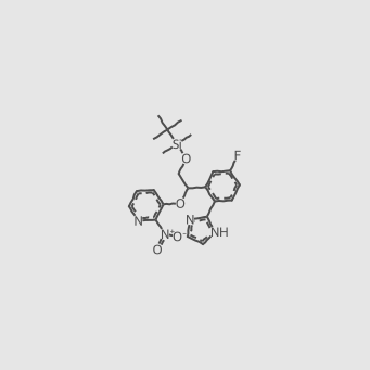 CC(C)(C)[Si](C)(C)OCC(Oc1cccnc1[N+](=O)[O-])c1cc(F)ccc1-c1ncc[nH]1